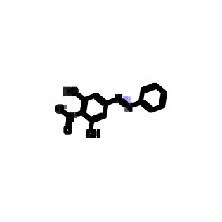 O=[N+]([O-])c1c(O)cc(/N=N/c2ccccc2)cc1O